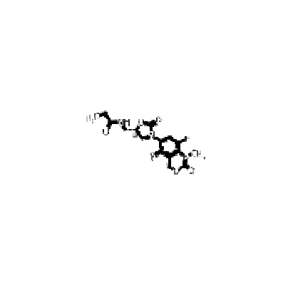 CCC(=O)NC[C@H]1CN(c2cc(F)c3c(c2F)COC(=O)N3C)C(=O)O1